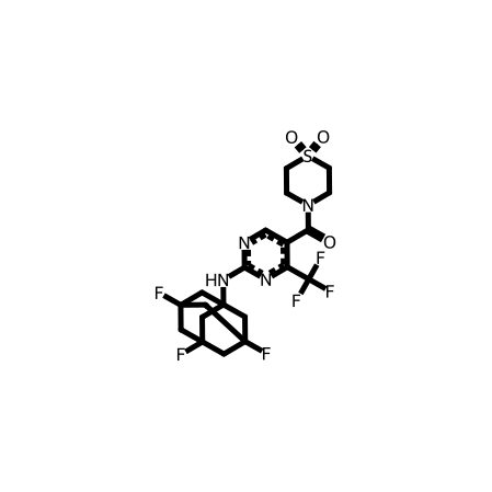 O=C(c1cnc(NC23CC4(F)CC(F)(CC(F)(C4)C2)C3)nc1C(F)(F)F)N1CCS(=O)(=O)CC1